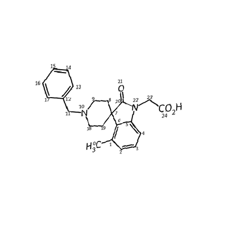 Cc1cccc2c1C1(CCN(Cc3ccccc3)CC1)C(=O)N2CC(=O)O